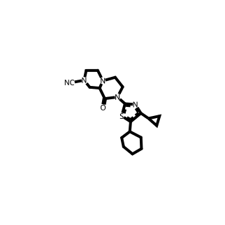 N#CN1CCN2CCN(c3nc(C4CC4)c(C4CCCCC4)s3)C(=O)C2C1